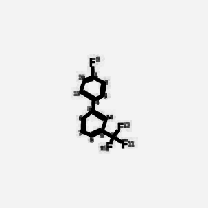 Fc1ccc(-c2c[c]cc(C(F)(F)F)c2)cc1